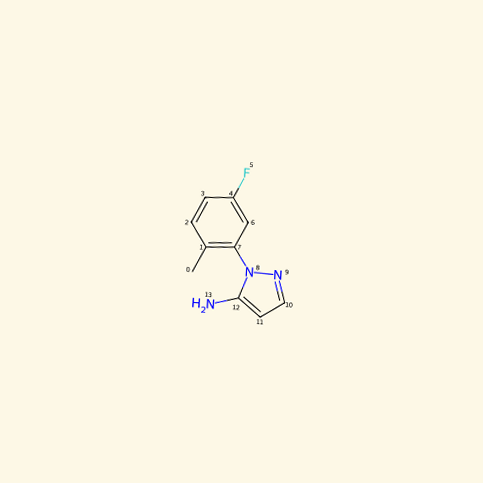 Cc1ccc(F)cc1-n1nccc1N